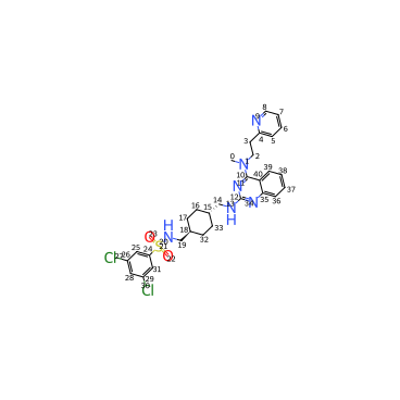 CN(CCc1ccccn1)c1nc(NC[C@H]2CC[C@H](CNS(=O)(=O)c3cc(Cl)cc(Cl)c3)CC2)nc2ccccc12